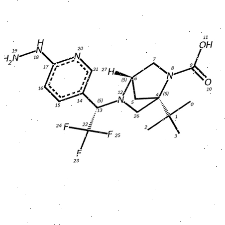 CC(C)(C)[C@]12C[C@@H](CN1C(=O)O)N([C@@H](c1ccc(NN)nc1)C(F)(F)F)C2